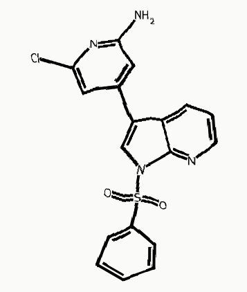 Nc1cc(-c2cn(S(=O)(=O)c3ccccc3)c3ncccc23)cc(Cl)n1